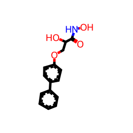 O=C(NO)C(O)COc1ccc(-c2ccccc2)cc1